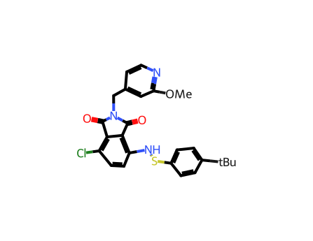 COc1cc(CN2C(=O)c3c(Cl)ccc(NSc4ccc(C(C)(C)C)cc4)c3C2=O)ccn1